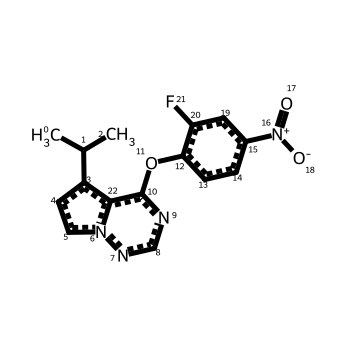 CC(C)c1ccn2ncnc(Oc3ccc([N+](=O)[O-])cc3F)c12